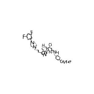 COc1ccc(CNc2cc(Cl)nc(-n3ncc(C=CCN4CCN(c5cc(F)cc(F)c5)CC4)c3C)n2)cc1